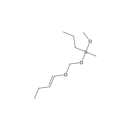 CCC=COCO[Si](C)(CCC)OC